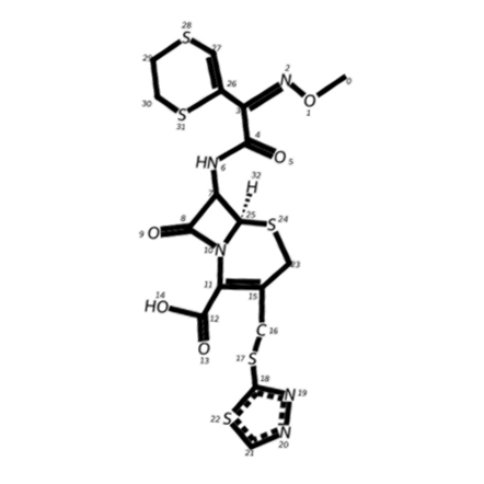 CO/N=C(\C(=O)NC1C(=O)N2C(C(=O)O)=C(CSc3nncs3)CS[C@H]12)C1=CSCCS1